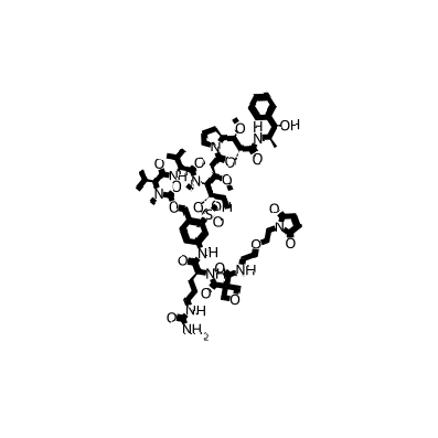 CC[C@H](C)[C@@H]([C@@H](CC(=O)N1CCC[C@H]1[C@H](OC)[C@@H](C)C(=O)N[C@H](C)[C@@H](O)c1ccccc1)OC)N(C)C(=O)[C@@H](NC(=O)[C@H](C(C)C)N(C)C(=O)OCc1ccc(NC(=O)[C@H](CCCNC(N)=O)NC(=O)C2(C(=O)NCCOCCN3C(=O)C=CC3=O)COC2)cc1S(=O)(=O)O)C(C)C